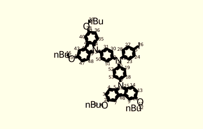 CCCCOc1ccc2c(c1)c1cc(OCCCC)ccc1n2-c1ccc(N(c2ccc(I)cc2)c2ccc(-n3c4ccc(OCCCC)cc4c4cc(OCCCC)ccc43)cc2)cc1